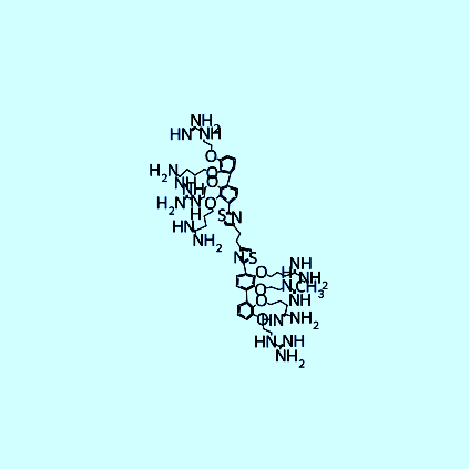 CC(=N)NCCOc1c(-c2cccc(OCCNC(=N)N)c2OCCCC(=N)N)ccc(-c2nc(CCc3csc(-c4ccc(-c5cccc(OCCNC(=N)N)c5OCCCC(=N)N)c(OCCNC(=N)N)c4OCCCC(=N)N)n3)cs2)c1OCCCC(=N)N